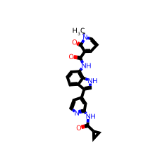 Cn1cccc(C(=O)Nc2cccc3c(-c4ccnc(NC(=O)C5CC5)c4)c[nH]c23)c1=O